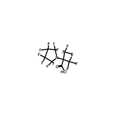 O=C(O)C(N1C(F)(F)C(F)(F)C(F)(F)C1(F)F)(C(F)(F)F)C(F)(F)F